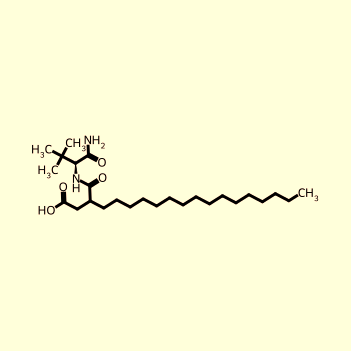 CCCCCCCCCCCCCCCCC(CC(=O)O)C(=O)N[C@H](C(N)=O)C(C)(C)C